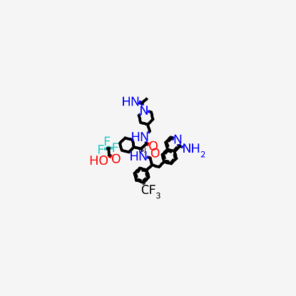 CC(=N)N1CCC(CNC(=O)[C@@H](NC(=O)C(Cc2ccc3c(N)nccc3c2)c2cccc(C(F)(F)F)c2)C2CCCCC2)CC1.O=C(O)C(F)(F)F